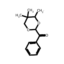 [CH2]C1OC(C(=O)c2ccccc2)OCC1(C)C